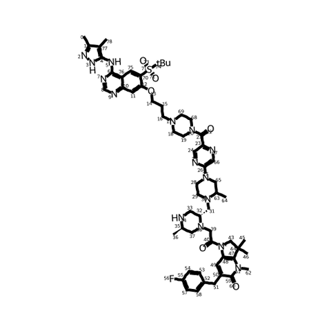 Cc1n[nH]c(Nc2ncnc3cc(OCCCN4CCN(C(=O)c5cnc(N6CCN(C[C@H]7CN[C@H](C)CN7CC(=O)N7CC(C)(C)c8c7cc(Cc7ccc(F)cc7)c(=O)n8C)C(C)C6)cn5)CC4)c(S(=O)(=O)C(C)(C)C)cc23)c1C